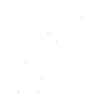 CN(Cc1cc(C(F)(F)F)cc(C(F)(F)F)c1)C(=O)CC(c1ccc(F)cc1)C1CCCN(C(=O)OC(C)(C)C)C1